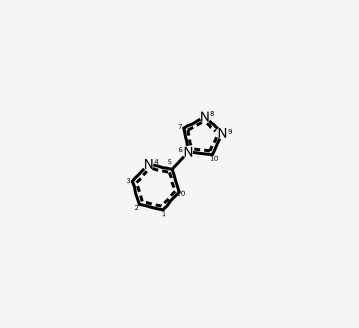 [c]1cccnc1-n1cnnc1